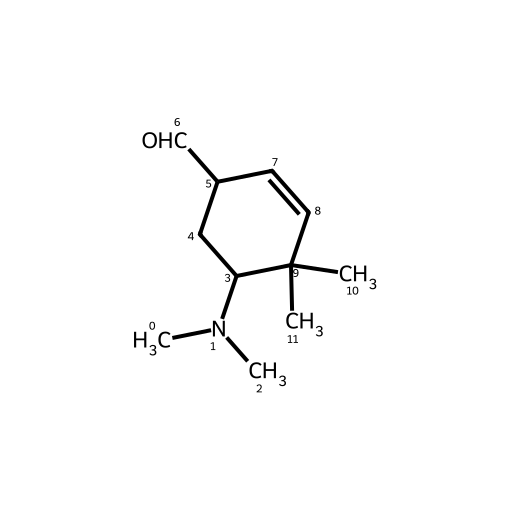 CN(C)C1CC(C=O)C=CC1(C)C